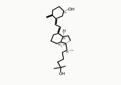 C=C1CC[C@H](O)CC1=CC=C1CCC[C@@]2(C)[C@@H]1CC[C@@H]2[C@H](C)CCCC(C)(C)O